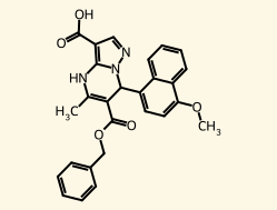 COc1ccc(C2C(C(=O)OCc3ccccc3)=C(C)Nc3c(C(=O)O)cnn32)c2ccccc12